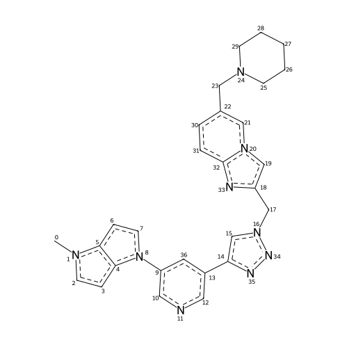 Cn1ccc2c1ccn2-c1cncc(-c2cn(Cc3cn4cc(CN5CCCCC5)ccc4n3)nn2)c1